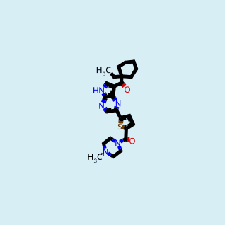 CCC1(C(=O)c2c[nH]c3ncc(-c4ccc(C(=O)N5CCN(C)CC5)s4)nc23)CCCCC1